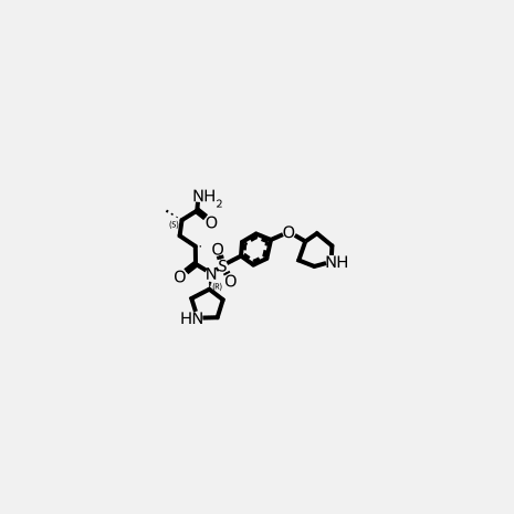 C[C@@H](C[CH]C(=O)N([C@@H]1CCNC1)S(=O)(=O)c1ccc(OC2CCNCC2)cc1)C(N)=O